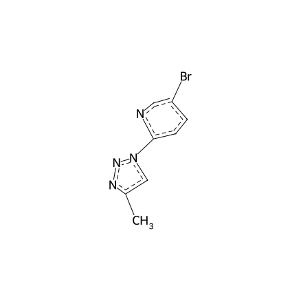 Cc1cn(-c2ccc(Br)cn2)nn1